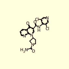 NC(=O)N1CCC(n2cc(C(=O)Nc3c(Cl)cncc3Cl)c(=O)c3cccnc32)C1